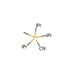 CC(C)P(C)(C#N)(C(C)C)C(C)C